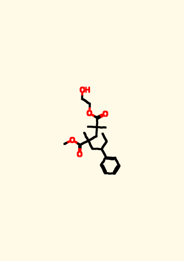 CCC(CC(C)(CC(C)(C)C(=O)OCCO)C(=O)OC)c1ccccc1